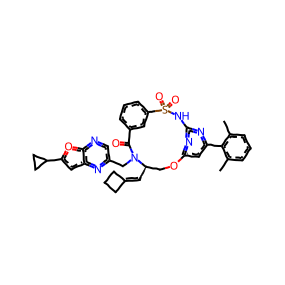 Cc1cccc(C)c1-c1cc2nc(n1)NS(=O)(=O)c1cccc(c1)C(=O)N(Cc1cnc3oc(C4CC4)cc3n1)[C@H](C=C1CCC1)CO2